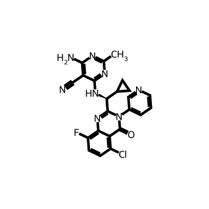 Cc1nc(N)c(C#N)c(N[C@H](c2nc3c(F)ccc(Cl)c3c(=O)n2-c2cccnc2)C2CC2)n1